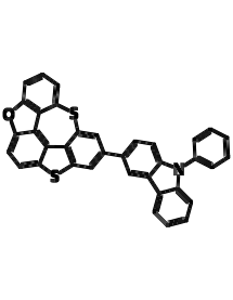 c1ccc(-n2c3ccccc3c3cc(-c4cc5sc6cccc7oc8ccc9sc(c4)c5c9c8c76)ccc32)cc1